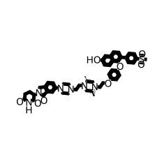 C[C@@H]1CN(CCOc2ccc(Oc3c(-c4ccc(S(C)(=O)=O)cc4)ccc4cc(O)ccc34)cc2)[C@@H](C)CN1CCN1CCN(c2ccc3c(c2)C(=O)N(C2CCC(=O)NC2=O)C3)CC1